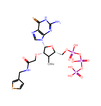 COC1[C@@H](COP(=O)(O)OP(=O)(O)OP(=O)(O)O)O[C@@H](n2cnc3c(=S)[nH]c(N)nc32)[C@H]1OCC(=O)NCc1ccsc1